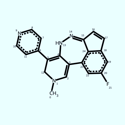 CN1C=C2C(=C(c3ccncc3)C1)NN=C1C=Cc3cc(F)cc2c31